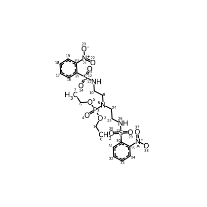 CCOP(=O)(OCC)N(CCNS(=O)(=O)c1ccccc1[N+](=O)[O-])CCNS(=O)(=O)c1ccccc1[N+](=O)[O-]